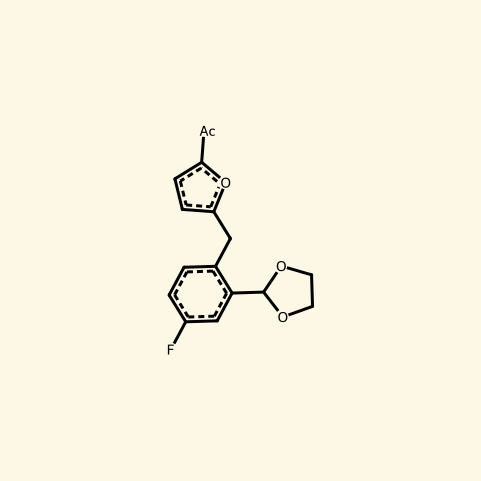 CC(=O)c1ccc(Cc2ccc(F)cc2C2OCCO2)o1